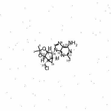 CC1(C)O[C@H]2[C@H](n3cnc4c(N)nc(I)nc43)[C@H]3C[C@@]3(CCl)[C@H]2O1